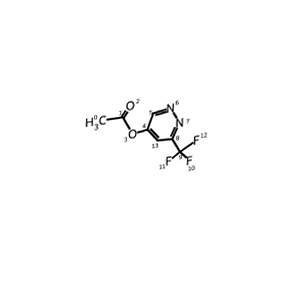 CC(=O)Oc1cnnc(C(F)(F)F)c1